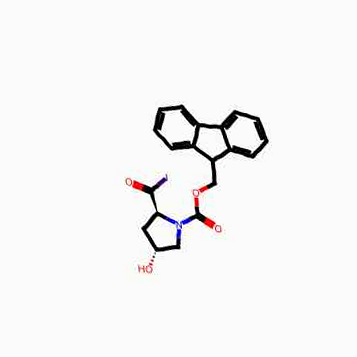 O=C(I)[C@@H]1C[C@@H](O)CN1C(=O)OCC1c2ccccc2-c2ccccc21